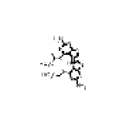 CC(Sc1nc(N)nc2nc[nH]c12)C(=O)O.Nc1nc(SCC(=O)O)c2[nH]cnc2n1